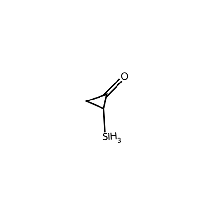 O=C1CC1[SiH3]